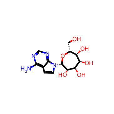 Nc1ncnc2c1ccn2[C@@H]1O[C@H](CO)[C@@H](O)[C@@H](O)[C@@H](O)[C@H]1O